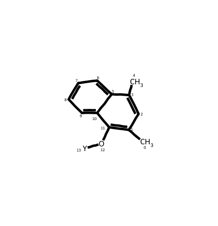 Cc1cc(C)c2ccccc2c1[O][Y]